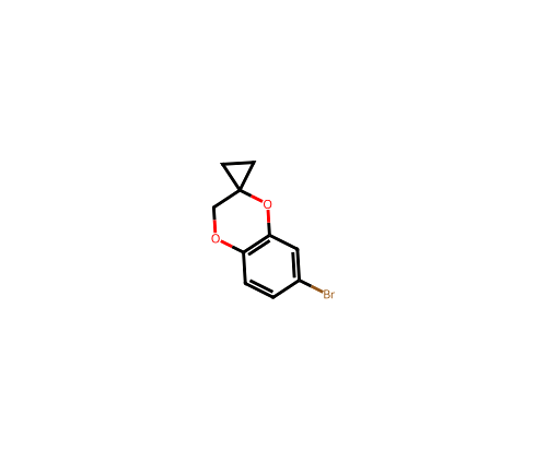 Brc1ccc2c(c1)OC1(CC1)CO2